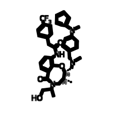 CC(CO)N1C[C@@H](C)[C@@H](CN(C)Cc2ccc(N(C)c3ccccc3)cc2)Oc2c(NC(=O)Cc3ccc(C(F)(F)F)cc3)cccc2C1=O